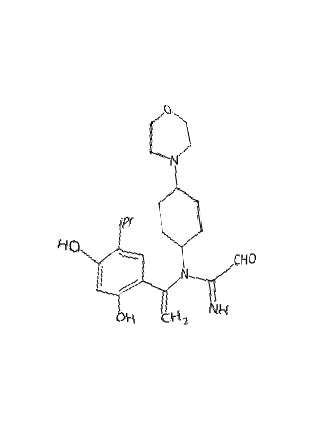 C=C(c1cc(C(C)C)c(O)cc1O)N(C(=N)C=O)C1CCC(N2CCOCC2)CC1